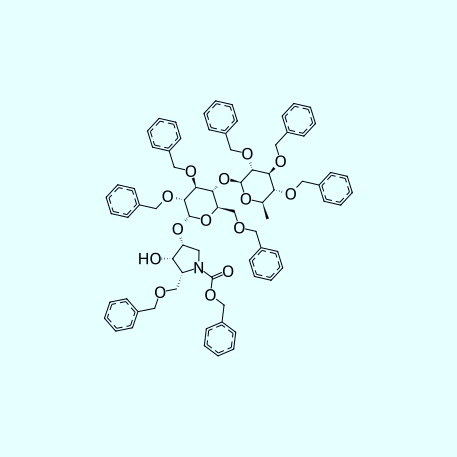 C[C@H]1O[C@@H](O[C@H]2[C@H](OCc3ccccc3)[C@@H](OCc3ccccc3)[C@@H](O[C@@H]3CN(C(=O)OCc4ccccc4)[C@H](COCc4ccccc4)[C@@H]3O)O[C@@H]2COCc2ccccc2)[C@H](OCc2ccccc2)[C@@H](OCc2ccccc2)[C@@H]1OCc1ccccc1